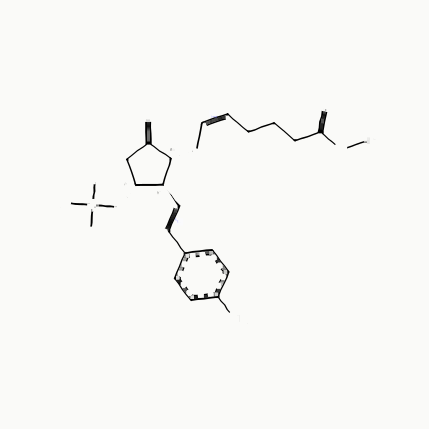 CC(C)OC(=O)CCC/C=C\C[C@H]1C(=O)C[C@@H](O[Si](C)(C)C(C)(C)C)[C@@H]1/C=C/c1ccc(C(F)(F)F)cc1